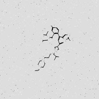 Cc1ncc2c(-c3ccc(F)cc3C(=O)N(CC(F)F)C(C)C)cc(C3CN([C@H](CCCN4CCN(CCO)CC4)C(C)C)C3)cn12